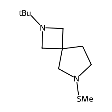 CSN1CCC2(C1)CN(C(C)(C)C)C2